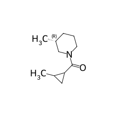 CC1CC1C(=O)N1CCC[C@@H](C)C1